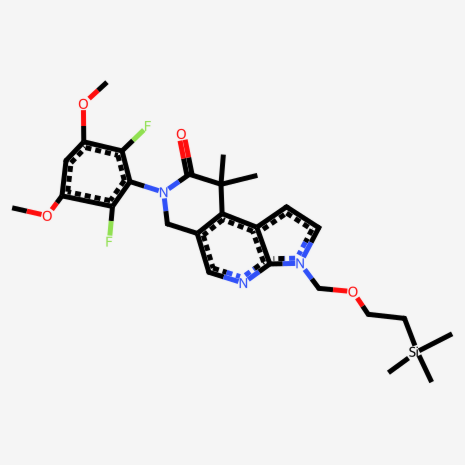 COc1cc(OC)c(F)c(N2Cc3cnc4c(ccn4COCC[Si](C)(C)C)c3C(C)(C)C2=O)c1F